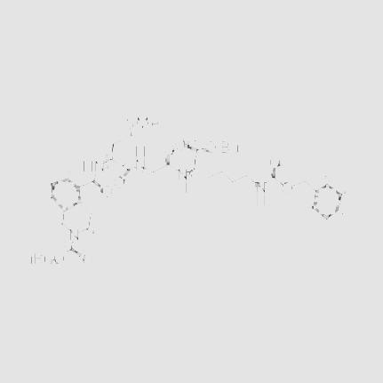 CSCC[C@H](NC(=O)c1cccc2c1CCN(C(=O)OCC(C)C)C2)C(=O)NCC(=O)N[C@@H](CCCCNC(=O)OCc1ccccc1)C(=O)OCC(C)C